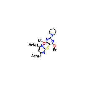 CCOc1nc(N2CCCCC2)nc(OCC)c1Sc1nc(NC(C)=O)cc(NC(C)=O)n1